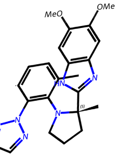 COc1cc2nc([C@]3(C)CCCN3c3c(-n4nccn4)[c]ccc3C)[nH]c2cc1OC